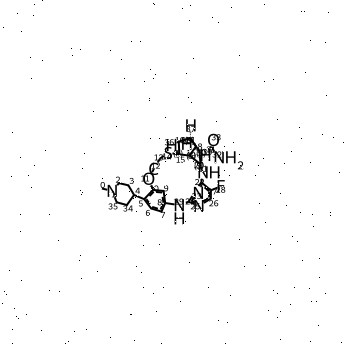 CN1CCC(c2ccc3cc2OCCS[C@@H]2C[C@@H]4C[C@H]2[C@@H](Nc2nc(ncc2F)N3)[C@H]4C(N)=O)CC1